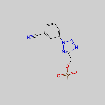 CS(=O)(=O)OCc1nnn(-c2cccc(C#N)c2)n1